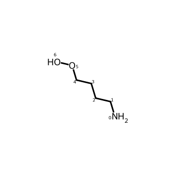 NCCCCOO